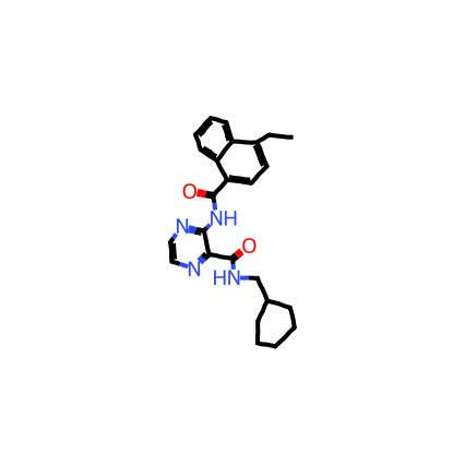 CCc1ccc(C(=O)Nc2nccnc2C(=O)NCC2CCCCC2)c2ccccc12